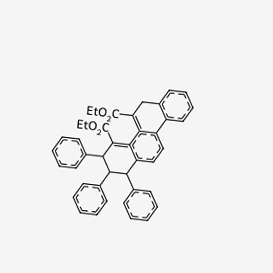 CCOC(=O)C1=c2c(ccc3c2=C(C(=O)OCC)C(c2ccccc2)C(c2ccccc2)C3c2ccccc2)-c2ccccc2C1